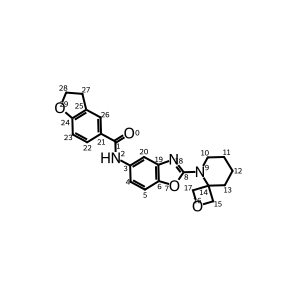 O=C(Nc1ccc2oc(N3CCCCC34COC4)nc2c1)c1ccc2c(c1)CCO2